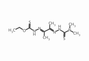 CCOC(=S)N/N=C(C)/C(C)=N/NC(=S)N(C)C